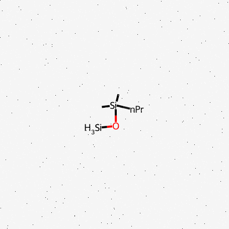 [CH2]CC[Si](C)(C)O[SiH3]